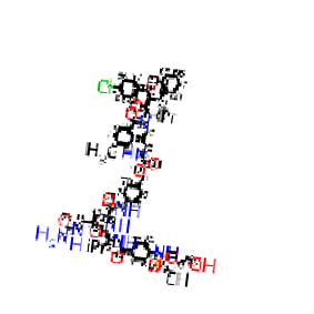 C#CP(=O)(Nc1ccc(C(=O)N[C@H](C(=O)N[C@@H](CCCNC(N)=O)C(=O)Nc2ccc(COC(=O)NCCCN(C(=O)c3ccc(C)cc3)[C@@H](c3oc4cc(Cl)ccc4c(=O)c3Cc3ccccc3)C(C)C)cc2)C(C)C)cc1)OCCO